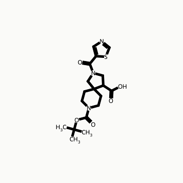 CC(C)(C)OC(=O)N1CCC2(CC1)CN(C(=O)c1cncs1)CC2C(=O)O